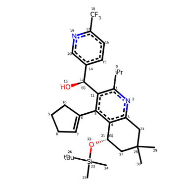 CC(C)c1nc2c(c(C3=CCCC3)c1[C@@H](O)c1ccc(C(F)(F)F)nc1)[C@@H](O[Si](C)(C)C(C)(C)C)CC(C)(C)C2